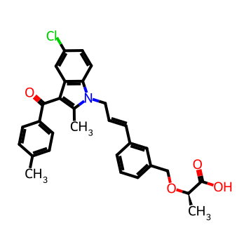 Cc1ccc(C(=O)c2c(C)n(C/C=C/c3cccc(CO[C@H](C)C(=O)O)c3)c3ccc(Cl)cc23)cc1